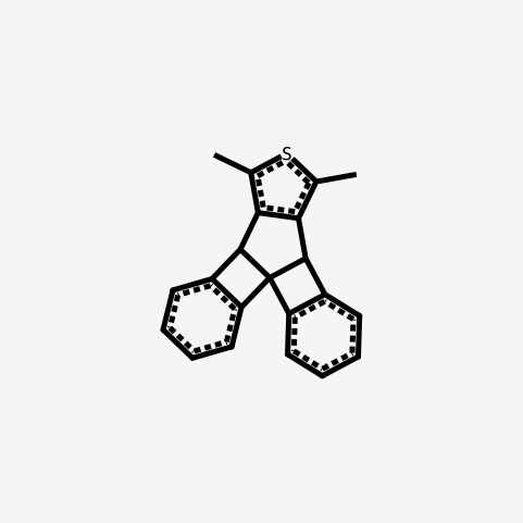 Cc1sc(C)c2c1C1c3ccccc3C13c1ccccc1C23